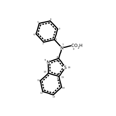 O=C(O)N(c1ccccc1)c1nc2ccccc2s1